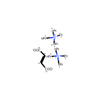 CCC[N+](CC)(CCC)CCC.CCC[N+](CC)(CCC)CCC.O=C([O-])C=CC(=O)[O-]